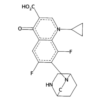 O=C(O)c1cn(C2CC2)c2c(F)c(N3CC4CCC3CN4)c(F)cc2c1=O